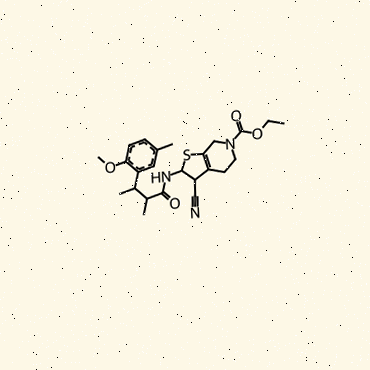 CCOC(=O)N1CCC2=C(C1)SC(NC(=O)C(C)C(C)c1cc(C)ccc1OC)C2C#N